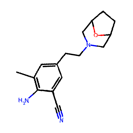 Cc1cc(CCN2CC3CCC(C2)O3)cc(C#N)c1N